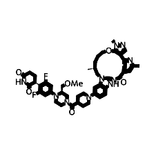 COC[C@H]1CN(C(=O)C2CCN(c3ccc4c(c3)N3C[C@H](C)CCCOc5c(cnn5C)-c5cc(cc(C)n5)C(=O)/N=C/3N4)CC2)CCN1c1cc(F)c([C@H]2CCC(=O)NC2=O)c(F)c1